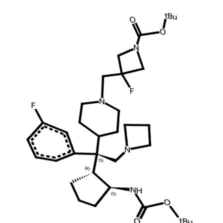 CC(C)(C)OC(=O)N[C@H]1CCC[C@@H]1[C@](CN1CCC1)(c1cccc(F)c1)C1CCN(CC2(F)CN(C(=O)OC(C)(C)C)C2)CC1